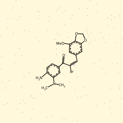 COc1cc(/C=C(/Br)C(=O)c2ccc(N)c(N(C)C)c2)cc2c1OCO2